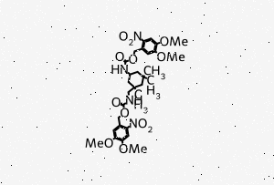 COc1cc(COC(=O)NCC2(C)CC(NC(=O)OCc3cc(OC)c(OC)cc3[N+](=O)[O-])CC(C)(C)C2)c([N+](=O)[O-])cc1OC